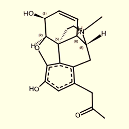 CC(=O)Cc1cc(O)c2c3c1C[C@@H]1[C@@H]4C=C[C@H](O)[C@H](O2)[C@]34CCN1C